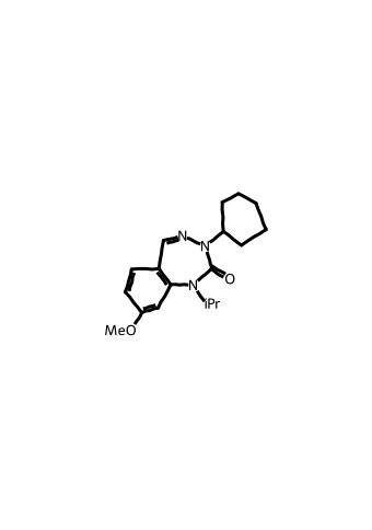 COc1ccc2c(c1)N(C(C)C)C(=O)N(C1CCCCC1)N=C2